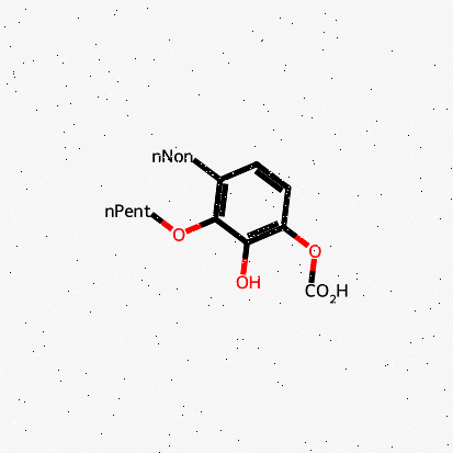 CCCCCCCCCc1ccc(OC(=O)O)c(O)c1OCCCCC